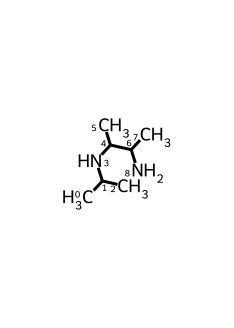 CC(C)NC(C)C(C)N